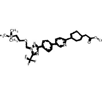 COC(=O)CC1CCC(c2ccc(-c3ccc(-c4nc(C(F)(F)F)n(COCC[Si](C)(C)C)n4)cc3)cn2)CC1